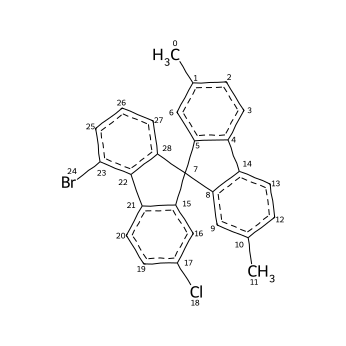 Cc1ccc2c(c1)C1(c3cc(C)ccc3-2)c2cc(Cl)ccc2-c2c(Br)cccc21